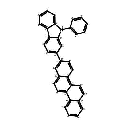 c1ccc(-n2c3ccccc3c3ccc(-c4ccc5c(ccc6c7ccccc7ccc56)c4)cc32)cc1